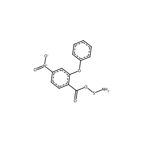 NSOC(=O)c1ccc([N+](=O)[O-])cc1Oc1ccccc1